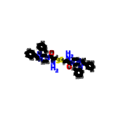 N[C@@H](CSSC[C@H](N)C(=O)N1CCn2cc(C3CCCCC3)nc2[C@@H]1CC1CCCCC1)C(=O)N1CCn2cc(C3CCCCC3)nc2[C@@H]1CC1CCCCC1